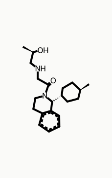 C[C@@H](O)CNCC(=O)N1CCc2ccccc2C1[C@H]1CC[C@H](C)CC1